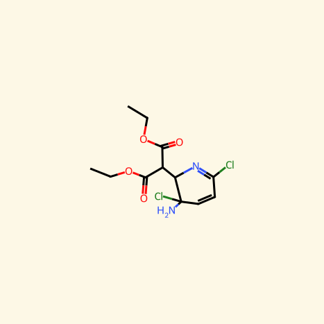 CCOC(=O)C(C(=O)OCC)C1N=C(Cl)C=CC1(N)Cl